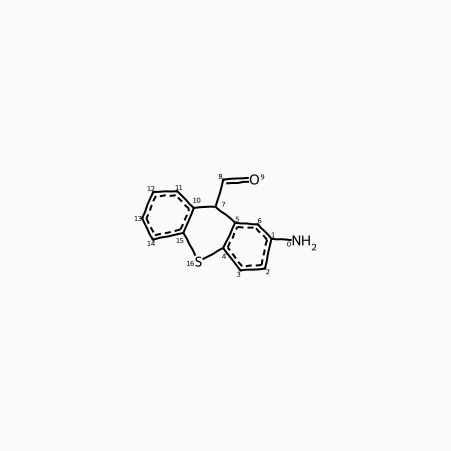 Nc1ccc2c(c1)C(C=O)c1ccccc1S2